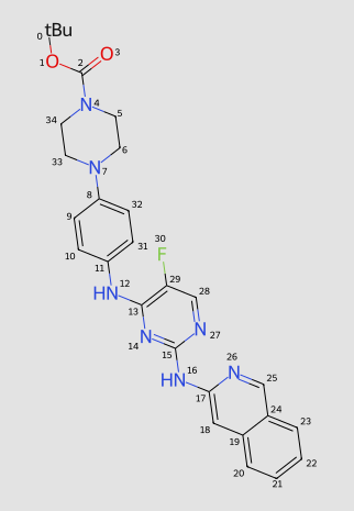 CC(C)(C)OC(=O)N1CCN(c2ccc(Nc3nc(Nc4cc5ccccc5cn4)ncc3F)cc2)CC1